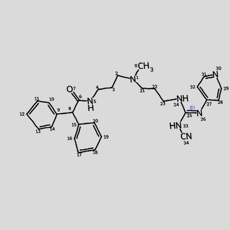 CN(CCCNC(=O)C(c1ccccc1)c1ccccc1)CCCN/C(=N\c1ccncc1)NC#N